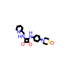 O=c1c(NCc2ccccn2)c(Nc2ccc(N3CC[S+]([O-])CC3)cc2)c1=O